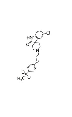 CS(=O)(=O)c1ccc(OCCN2CCC3(CC2)C(=O)Nc2ccc(Cl)cc23)cc1